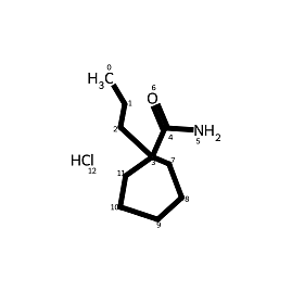 CCCC1(C(N)=O)CCCCC1.Cl